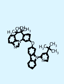 CC(C)(C)c1ccnc(-n2c3ccccc3c3ccc(Oc4ccc5c(c4)-n4cnc6cccc(c64)C(C)(C)C5(C)C)cc32)c1